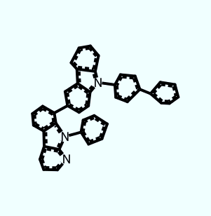 c1ccc(-c2ccc(-n3c4ccccc4c4cc(-c5cccc6c7cccnc7n(-c7ccccc7)c56)ccc43)cc2)cc1